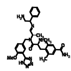 COc1ccc(CN(C(=O)[C@@H](N)Cc2c(C)cc(C(N)=O)cc2C)[C@@H](C)/C=N/C(CN)c2ccccc2)cc1-c1nnn[nH]1